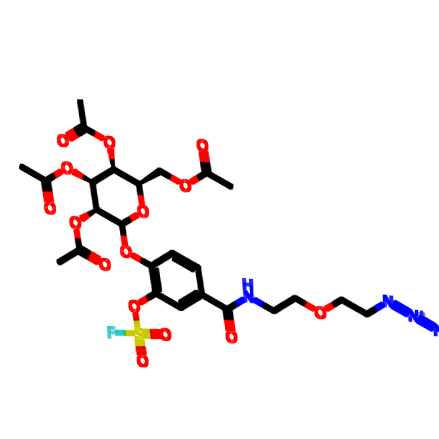 CC(=O)OC[C@H]1OC(Oc2ccc(C(=O)NCCOCCN=[N+]=[N-])cc2OS(=O)(=O)F)[C@@H](OC(C)=O)[C@@H](OC(C)=O)[C@H]1OC(C)=O